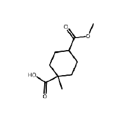 COC(=O)C1CCC(C)(C(=O)O)CC1